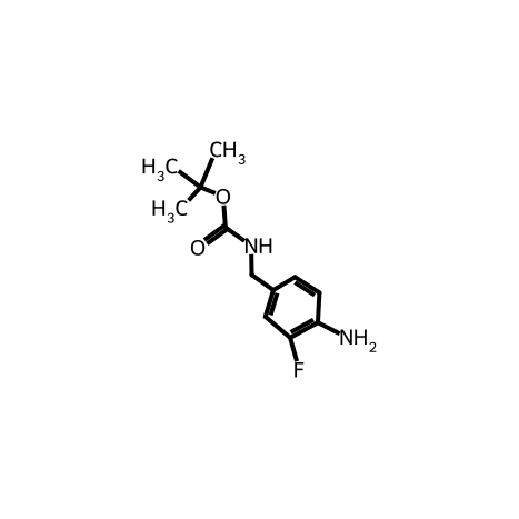 CC(C)(C)OC(=O)NCc1ccc(N)c(F)c1